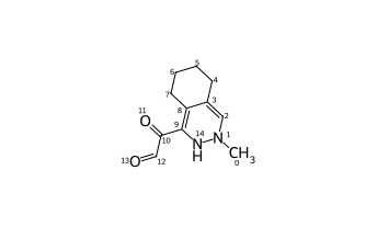 CN1C=C2CCCCC2=C(C(=O)C=O)N1